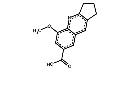 COc1cc(C(=O)O)cc2cc3c(nc12)CCC3